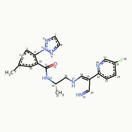 Cc1ccc(-n2nccn2)c(C(=O)N[C@@H](C)CN/C=C(\C=N)c2ccc(F)cn2)c1